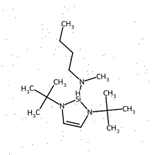 CCCCN(C)[SiH]1N(C(C)(C)C)C=CN1C(C)(C)C